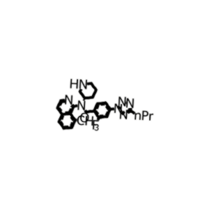 CCCc1nnn(-c2ccc(C(=O)N(c3nccc4cccc(C)c34)[C@@H]3CCCNC3)c(F)c2)n1